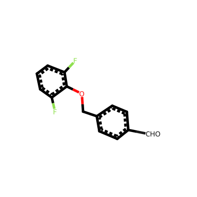 O=Cc1ccc(COc2c(F)cccc2F)cc1